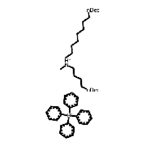 CCCCCCCCCCCCCCCCCC[NH+](C)CCCCCCCCCCCCCC.c1ccc([B-](c2ccccc2)(c2ccccc2)c2ccccc2)cc1